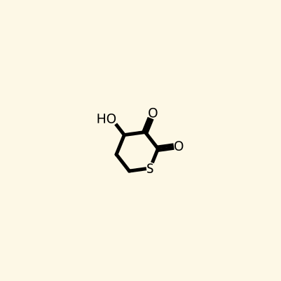 O=C1SCCC(O)C1=O